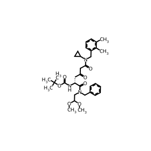 COC(CN(Cc1ccccc1)C(=O)[C@@H](CC(=O)CC(=O)N(Cc1cccc(C)c1C)C1CC1)NC(=O)OC(C)(C)C)OC